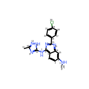 CCNc1ccc2c(Nc3nc(C)n[nH]3)nc(-c3ccc(Cl)cc3)nc2c1